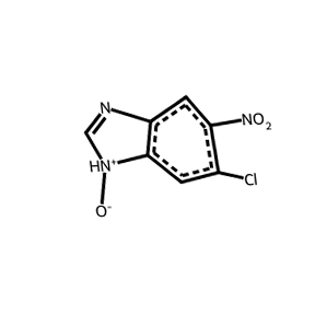 O=[N+]([O-])c1cc2c(cc1Cl)[NH+]([O-])C=N2